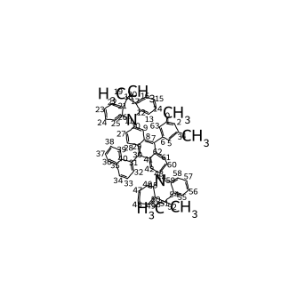 Cc1cc(C)cc(-c2c3cc(N4c5ccccc5C(C)(C)c5ccccc54)ccc3c(-c3cccc4ccccc34)c3cc(N4c5ccccc5C(C)(C)c5ccccc54)ccc23)c1